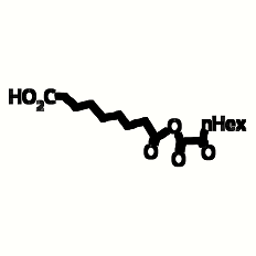 CCCCCCC(=O)C(=O)OC(=O)CCCCCCCC(=O)O